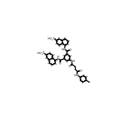 Cc1ccc(NC(=O)CCC(=O)Nc2cc(C(=O)Nc3cccc4cc(S(=O)(=O)O)ccc34)cc(C(=O)Nc3cccc4cc(S(=O)(=O)O)ccc34)c2)cc1